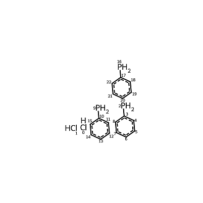 Cl.Cl.Pc1ccccc1.Pc1ccccc1.Pc1ccccc1